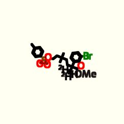 [2H]C([2H])([2H])C(CCC(C)(C)CCOS(=O)(=O)c1ccc(C)cc1)(C(=O)OC)c1cccc(Br)c1